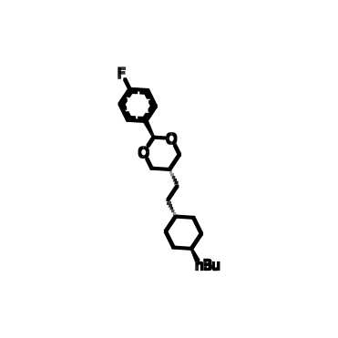 CCCC[C@H]1CC[C@H](CC[C@H]2CO[C@H](c3ccc(F)cc3)OC2)CC1